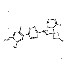 COc1cc(F)c(-c2ccc(NC[C@]3(c4ncccc4F)C[C@H](F)C3)nn2)cc1C#N